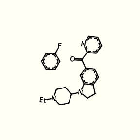 CCN1CCC(N2CCc3ccc(C(=O)c4ccccn4)cc32)CC1.Fc1ccccc1